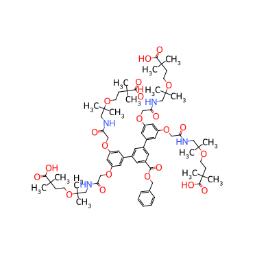 CC(C)(CNC(=O)COc1cc(OCC(=O)NCC(C)(C)OCCC(C)(C)C(=O)O)cc(-c2cc(C(=O)OCc3ccccc3)cc(-c3cc(OCC(=O)NCC(C)(C)OCCC(C)(C)C(=O)O)cc(OCC(=O)NCC(C)(C)OCCC(C)(C)C(=O)O)c3)c2)c1)OCCC(C)(C)C(=O)O